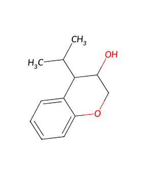 CC(C)C1c2ccccc2OCC1O